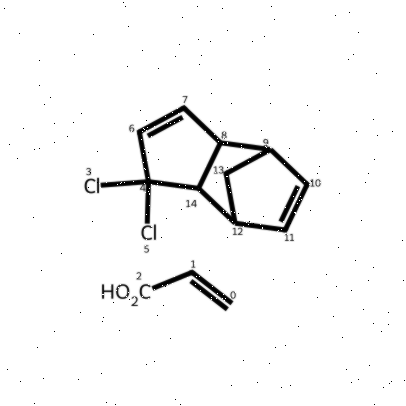 C=CC(=O)O.ClC1(Cl)C=CC2C3C=CC(C3)C21